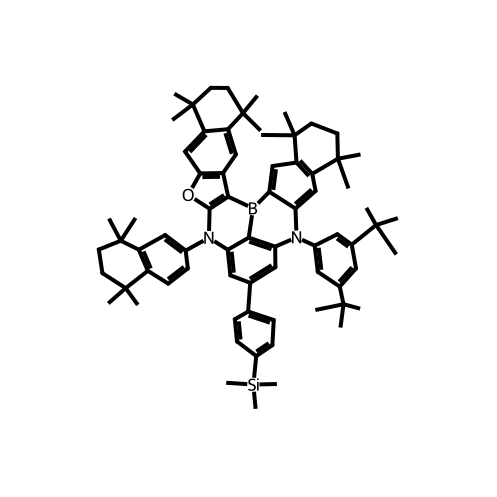 CC(C)(C)c1cc(N2c3cc4c(cc3B3c5c2cc(-c2ccc([Si](C)(C)C)cc2)cc5N(c2ccc5c(c2)C(C)(C)CCC5(C)C)c2oc5cc6c(cc5c23)C(C)(C)CCC6(C)C)C(C)(C)CCC4(C)C)cc(C(C)(C)C)c1